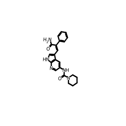 NC(=O)C(=Cc1c[nH]c2ncc(NC(=O)N3CCCCC3)cc12)c1ccccc1